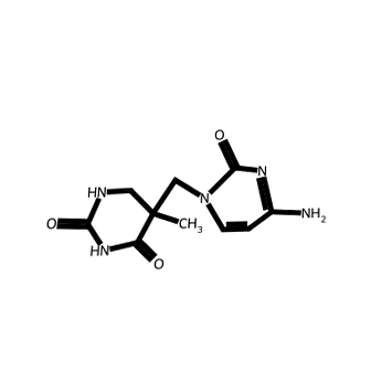 CC1(Cn2ccc(N)nc2=O)CNC(=O)NC1=O